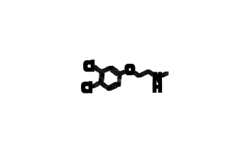 CNCCOc1ccc(Cl)c(Cl)c1